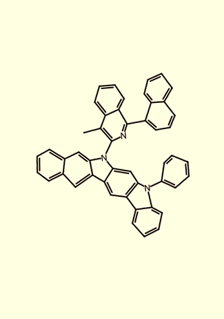 Cc1c(-n2c3cc4ccccc4cc3c3cc4c5ccccc5n(-c5ccccc5)c4cc32)nc(-c2cccc3ccccc23)c2ccccc12